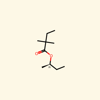 CC[C@@H](C)OC(=O)C(C)(C)CC